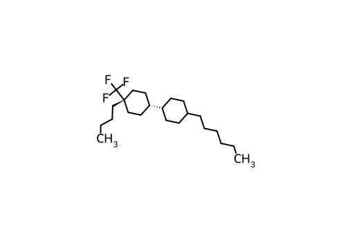 CCCCCCC1CCC([C@H]2CC[C@@](CCCC)(C(F)(F)F)CC2)CC1